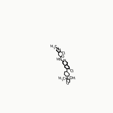 Cn1cc(CC(=O)Nc2cc3cc(C4CCN([C@@]5(C)COC[C@H]5O)CC4)c(Cl)cc3cn2)c(Cl)n1